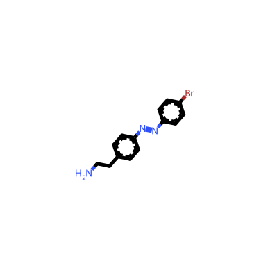 NCCc1ccc(N=Nc2ccc(Br)cc2)cc1